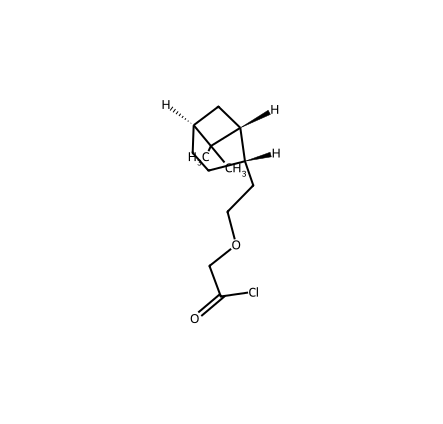 CC1(C)[C@H]2CC[C@@H](CCOCC(=O)Cl)[C@H]1C2